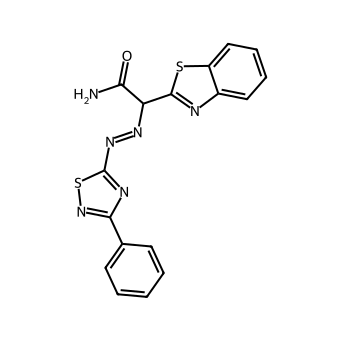 NC(=O)C(/N=N/c1nc(-c2ccccc2)ns1)c1nc2ccccc2s1